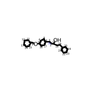 OC(/C=C/c1ccc(OCc2ccccc2)cc1)CCc1ccccc1